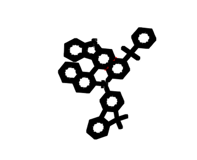 CC(C)(c1ccccc1)c1ccc(N(c2ccc3c(c2)-c2ccccc2C3(C)C)c2ccc3ccccc3c2-c2cccc3sc4ccccc4c23)cc1